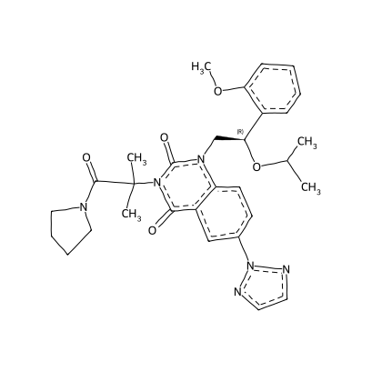 COc1ccccc1[C@H](Cn1c(=O)n(C(C)(C)C(=O)N2CCCC2)c(=O)c2cc(-n3nccn3)ccc21)OC(C)C